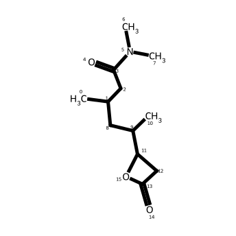 CC(CC(=O)N(C)C)CC(C)C1CC(=O)O1